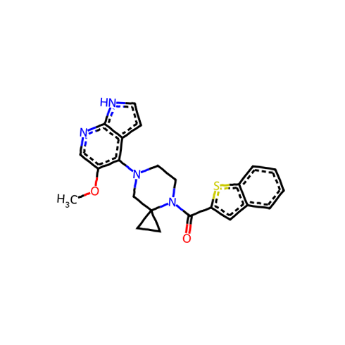 COc1cnc2[nH]ccc2c1N1CCN(C(=O)c2cc3ccccc3s2)C2(CC2)C1